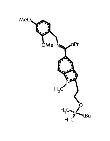 CCC/C(=N\Cc1ccc(OC)cc1OC)c1ccc2c(c1)cc(CCO[Si](C)(C)C(C)(C)C)n2C